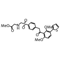 COC(=O)CNCS(=O)(=O)c1ccc(CC(=O)c2c(OC)ccc(-c3cccs3)c2OC)cc1